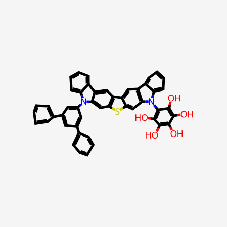 Oc1c(O)c(O)c(-n2c3ccccc3c3cc4c(cc32)sc2cc3c(cc24)c2ccccc2n3-c2cc(-c3ccccc3)cc(-c3ccccc3)c2)c(O)c1O